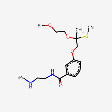 CCOCCOC(C)(COc1cccc(C(=O)NCCNC(C)C)c1)SC#N